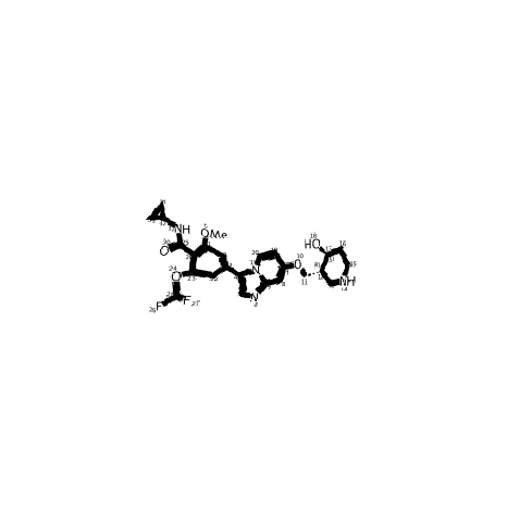 COc1cc(-c2cnc3cc(OC[C@H]4CNCC[C@@H]4O)ccn23)cc(OC(F)F)c1C(=O)NC1CC1